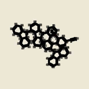 N#Cc1ccc(-c2c(-c3ccccc3-n3c4ccccc4c4c(-n5c6ccccc6c6ccccc65)cccc43)cccc2-n2c3ccccc3c3ccccc32)c(C#N)c1